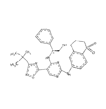 CC(C)(C)c1noc(-c2cnc(Nc3ccc4c(c3)CCCS4(=O)=O)nc2N[C@H](CO)c2ccccc2)n1